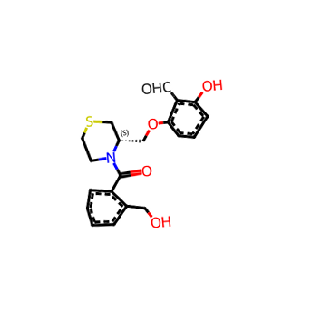 O=Cc1c(O)cccc1OC[C@H]1CSCCN1C(=O)c1ccccc1CO